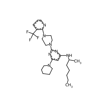 CCCCCC(C)Nc1cc(N2CCCCC2)nc(N2CCN(c3ncccc3C(F)(F)F)CC2)n1